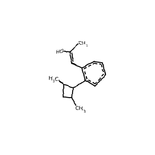 C/C(O)=C\c1ccccc1C1C(C)CC1C